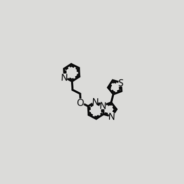 c1ccc(CCOc2ccc3ncc(-c4ccsc4)n3n2)nc1